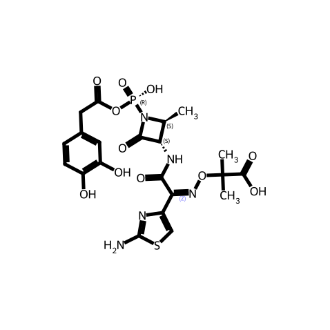 C[C@H]1[C@H](NC(=O)/C(=N\OC(C)(C)C(=O)O)c2csc(N)n2)C(=O)N1[P@@](=O)(O)OC(=O)Cc1ccc(O)c(O)c1